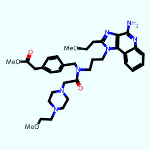 COCCc1nc2c(N)nc3ccccc3c2n1CCCN(Cc1ccc(CC(=O)OC)cc1)C(=O)CN1CCN(CCOC)CC1